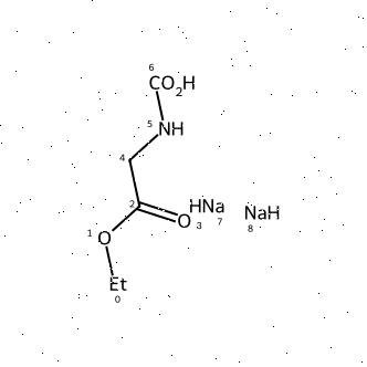 CCOC(=O)CNC(=O)O.[NaH].[NaH]